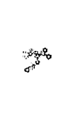 N[C@H]1C[C@@H](n2cnc3c(NCC(c4ccccc4)c4ccccc4)nc(N4CCC(NC(=O)NCc5ccccn5)C4)nc32)[C@H](O)[C@@H]1O